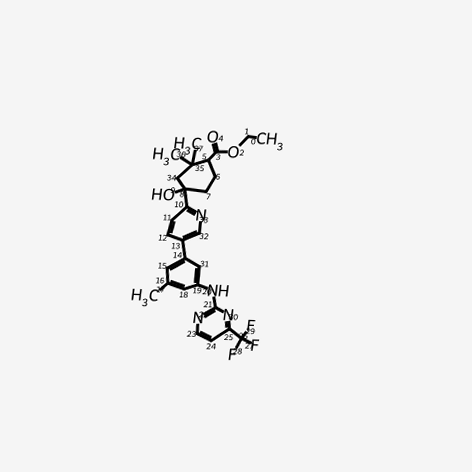 CCOC(=O)C1CCC(O)(c2ccc(-c3cc(C)cc(Nc4nccc(C(F)(F)F)n4)c3)cn2)CC1(C)C